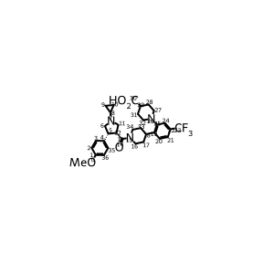 COc1ccc([C@@H]2CN(C3CC3)C[C@H]2C(=O)N2CCC(c3ccc(C(F)(F)F)cc3N3CCC(C(=O)O)CC3)CC2)cc1